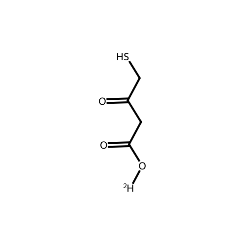 [2H]OC(=O)CC(=O)CS